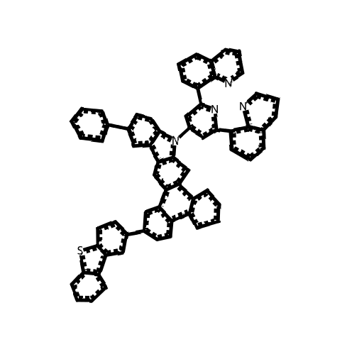 c1ccc(-c2ccc3c(c2)c2cc4c5cc(-c6ccc7sc8ccccc8c7c6)ccc5c5ccccc5c4cc2n3-c2cc(-c3cccc4cccnc34)nc(-c3cccc4cccnc34)c2)cc1